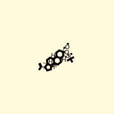 C=C(C)[C@H]1CC[C@H]2[C@@H]3CC[C@@H]4C[C@](COC)(O[Si](C)(C)C(C)(C)C)CC[C@@H]4[C@H]3CC[C@]12C